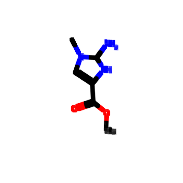 CN1C=C(C(=O)OC(C)(C)C)NC1N